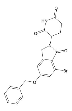 O=C1CCC(N2Cc3cc(OCc4ccccc4)cc(Br)c3C2=O)C(=O)N1